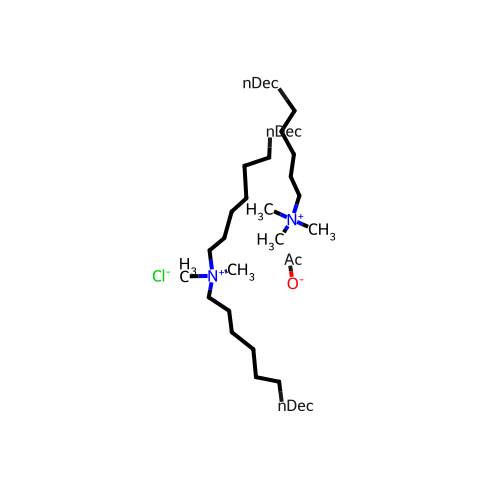 CC(=O)[O-].CCCCCCCCCCCCCCCC[N+](C)(C)CCCCCCCCCCCCCCCC.CCCCCCCCCCCCCCC[N+](C)(C)C.[Cl-]